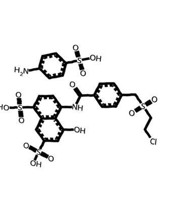 Nc1ccc(S(=O)(=O)O)cc1.O=C(Nc1ccc(S(=O)(=O)O)c2cc(S(=O)(=O)O)cc(O)c12)c1ccc(CS(=O)(=O)CCCl)cc1